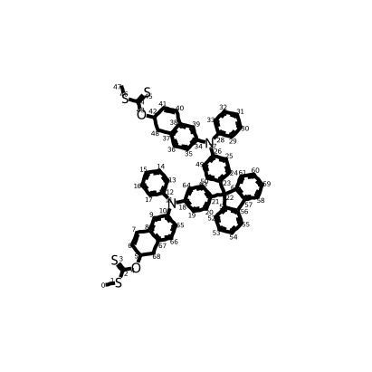 CSC(=S)OC1C=Cc2cc(N(c3ccccc3)c3ccc(C4(c5ccc(N(c6ccccc6)c6ccc7c(c6)C=CC(OC(=S)SC)C7)cc5)c5ccccc5-c5ccccc54)cc3)ccc2C1